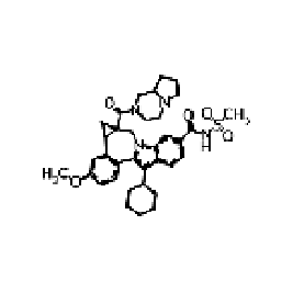 COc1ccc2c(c1)C1CC1(C(=O)N1CCN3CCCC3C1)Cn1c-2c(C2CCCCC2)c2ccc(C(=O)NS(C)(=O)=O)cc21